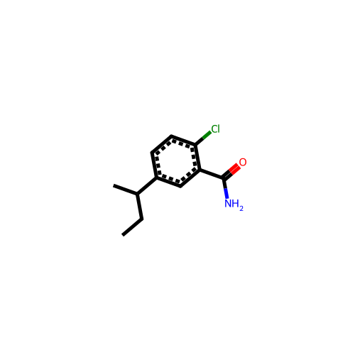 CCC(C)c1ccc(Cl)c(C(N)=O)c1